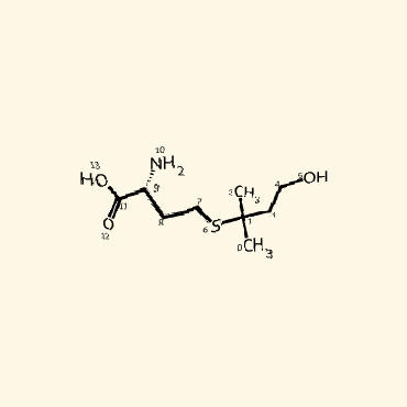 CC(C)(CCO)SCC[C@@H](N)C(=O)O